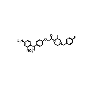 C[C@@H]1CN(C(=O)COc2ccc(Nc3ccc([N+](=O)[O-])cc3[N+](=O)[O-])cc2)[C@@H](C)CN1Cc1ccc(F)cc1